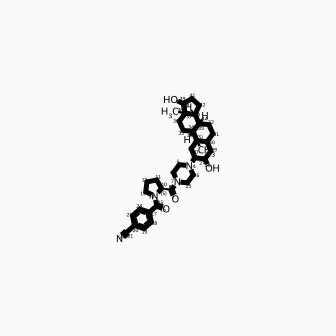 C[C@]12CC(N3CCN(C(=O)[C@@H]4CCCN4C(=O)c4ccc(C#N)cc4)CC3)C(O)CC1CC[C@@H]1[C@H]2CC[C@]2(C)C(O)CC[C@@H]12